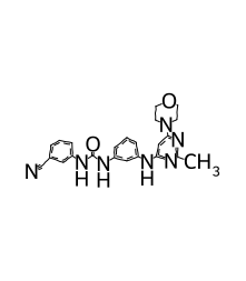 Cc1nc(Nc2cccc(NC(=O)Nc3cccc(C#N)c3)c2)cc(N2CCOCC2)n1